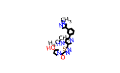 CC(C)Nc1cc(-c2cccc(-c3cnn(C)c3)c2)ncc1-c1nnc(C(=O)N2CCC(O)C2)s1